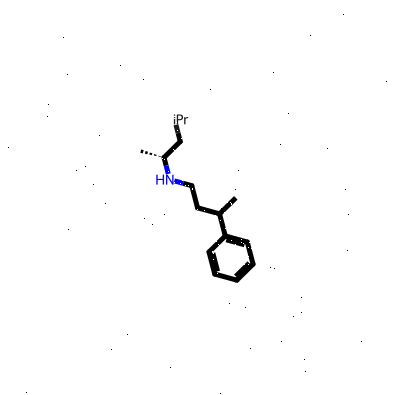 CC(C)C[C@@H](C)NCCC(C)c1ccccc1